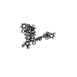 Cc1cccc(S(=O)(=O)OCCOCCNC(=O)c2c(C(=O)N3CCN(C(=O)[C@@H](NC(=O)[C@H](C)N(C)C(=O)OC(C)(C)C)C4CCCCC4)CC3)n(C)c3cc(F)c(F)cc23)c1